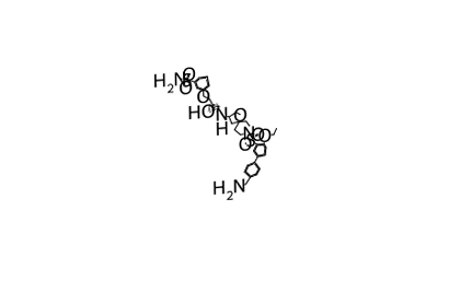 CCOc1ccc(-c2ccc(CN)cc2)cc1S(=O)(=O)N1CCC2(CC1)CC(NC[C@H](O)COc1cccc(S(N)(=O)=O)c1)CO2